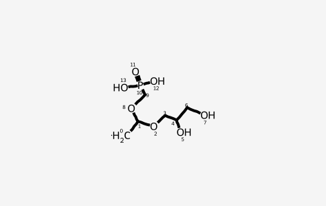 [CH2]C(OCC(O)CO)OCP(=O)(O)O